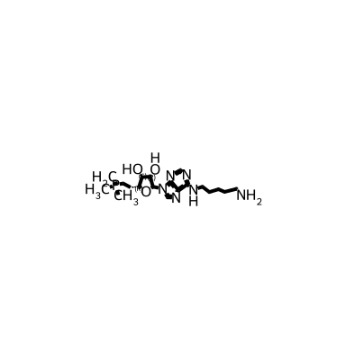 C=P(C)(C)CC[C@H]1OC(n2cnc3c(NCCCCCN)ncnc32)[C@H](O)[C@@H]1O